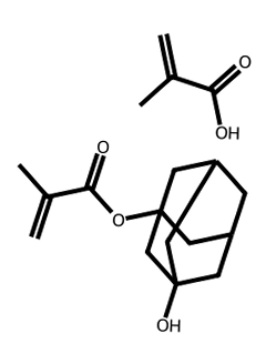 C=C(C)C(=O)O.C=C(C)C(=O)OC12CC3CC(CC(O)(C3)C1)C2